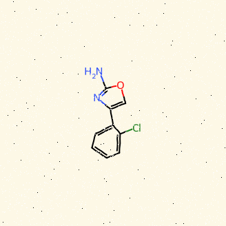 Nc1nc(-c2ccccc2Cl)co1